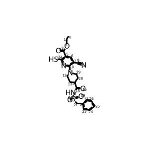 CCOC(=O)c1cc(C#N)c(N2CCC(C(=O)NS(=O)(=O)Cc3ccccc3)CC2)nc1S